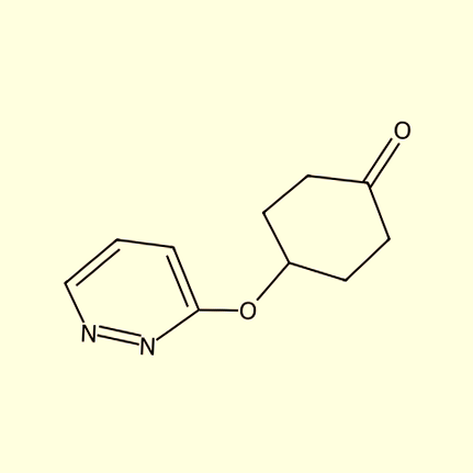 O=C1CCC(Oc2cccnn2)CC1